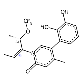 C/C=C(\[C@H](C)OC(F)(F)F)n1cc(-c2cccc(O)c2O)c(C)cc1=O